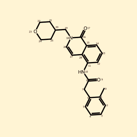 Cc1ccccc1CC(=O)Nc1cccc2c(=O)n(CC3CCOCC3)ccc12